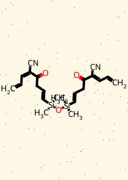 C=CC=C(C#N)C(=O)CC=C[Si](C)(C)O[Si](C)(C)C=CCC(=O)C(C#N)=CC=C